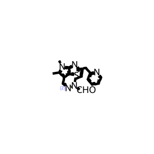 C=CCN(C=O)/N=C\c1c(C)n(C)c2nc(Cc3ccccn3)sc12